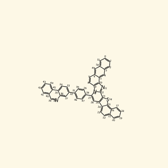 c1ccc2cc3c(ccc4c3nc3c5sc6c7ccccc7ccc6c5cc(-c5ccc(-c6ccc7c(c6)ncc6ccccc67)cc5)n43)cc2c1